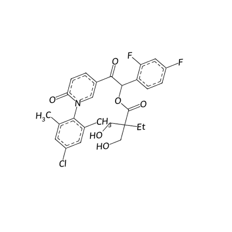 CCC(CO)(CO)C(=O)OC(C(=O)c1ccc(=O)n(-c2c(C)cc(Cl)cc2C)c1)c1ccc(F)cc1F